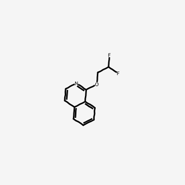 FC(F)COc1nccc2ccccc12